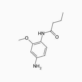 CCCC(=O)Nc1ccc(N)cc1OC